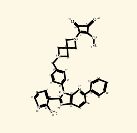 CCOc1c(N2CC3(CN(Cc4ccc(-n5c(-c6cccnc6N)nc6ccc(-c7ccccc7)nc65)cc4)C3)C2)c(=O)c1=O